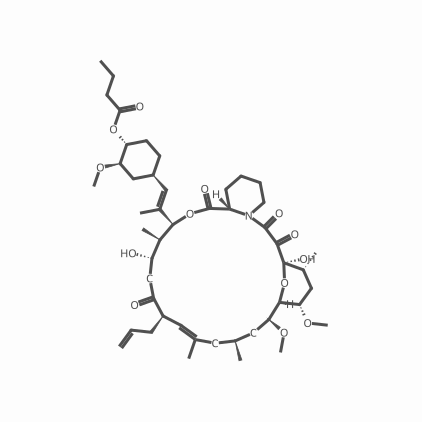 C=CC[C@@H]1/C=C(\C)C[C@H](C)C[C@H](OC)[C@H]2O[C@@](O)(C(=O)C(=O)N3CCCC[C@H]3C(=O)O[C@H](/C(C)=C/[C@@H]3CC[C@@H](OC(=O)CCC)[C@H](OC)C3)[C@H](C)[C@@H](O)CC1=O)[C@H](C)C[C@@H]2OC